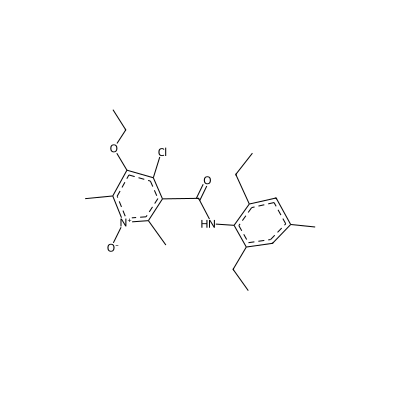 CCOc1c(Cl)c(C(=O)Nc2c(CC)cc(C)cc2CC)c(C)[n+]([O-])c1C